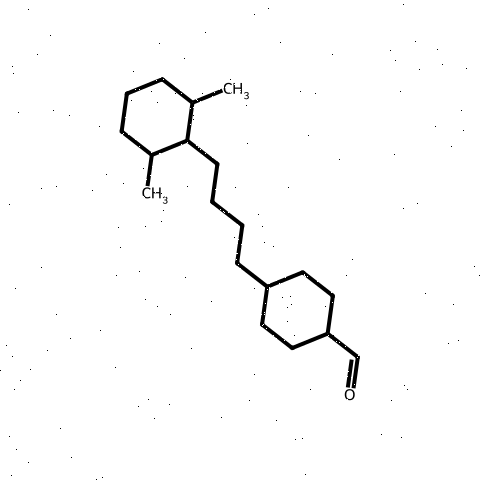 CC1CCCC(C)C1CCCCC1CCC(C=O)CC1